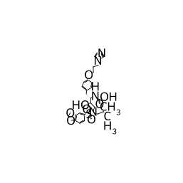 CC(C)CN(C[C@@H](O)[C@H](Cc1ccc(OCCCn2ccnc2)cc1)NC(=O)O)S(=O)(=O)c1ccc2c(c1)OCO2